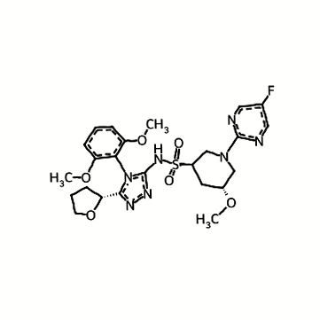 COc1cccc(OC)c1-n1c(NS(=O)(=O)[C@@H]2C[C@@H](OC)CN(c3ncc(F)cn3)C2)nnc1[C@H]1CCCO1